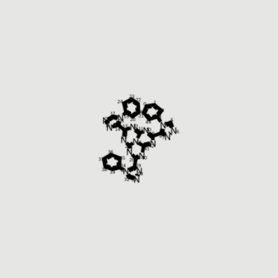 c1ccc(-n2cnnc2C2=NC3=NC(c4nncn4-c4ccccc4)=NC4=NC(c5nncn5-c5ccccc5)=NC(=N2)N34)cc1